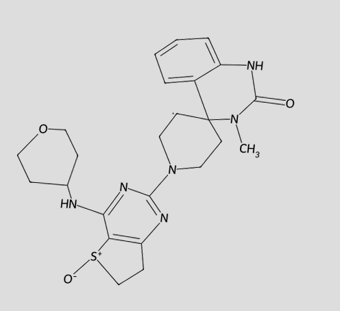 CN1C(=O)Nc2ccccc2C12[CH]CN(c1nc3c(c(NC4CCOCC4)n1)[S+]([O-])CC3)CC2